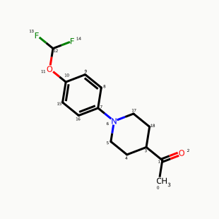 CC(=O)C1CCN(c2ccc(OC(F)F)cc2)CC1